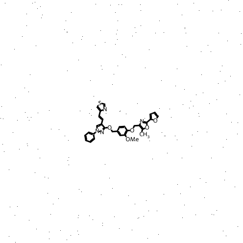 COc1cc(COc2nn(-c3ccccc3)cc2/C=C/c2cscn2)ccc1OCc1nc(-c2ccco2)oc1C